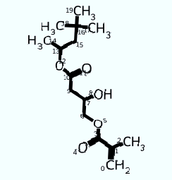 C=C(C)C(=O)OCC(O)CC(=O)OC(C)CC(C)(C)C